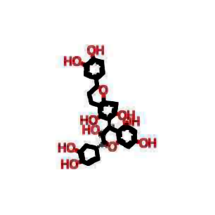 OC1=C(O)CC([C@H]2Oc3cc(O)cc(O)c3[C@H](c3c(O)cc4c(c3O)CCC(c3ccc(O)c(O)c3)O4)[C@H]2O)C=C1